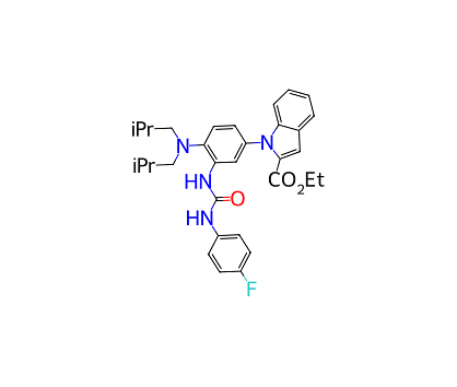 CCOC(=O)c1cc2ccccc2n1-c1ccc(N(CC(C)C)CC(C)C)c(NC(=O)Nc2ccc(F)cc2)c1